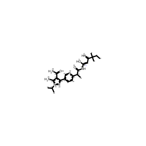 CCC(C)(C)C(=N)/C=C(\O)NC(=O)C(C)c1ccc(-c2nn(C(C)C)c(N)c2C(N)=O)cn1